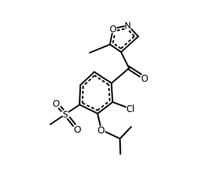 Cc1oncc1C(=O)c1ccc(S(C)(=O)=O)c(OC(C)C)c1Cl